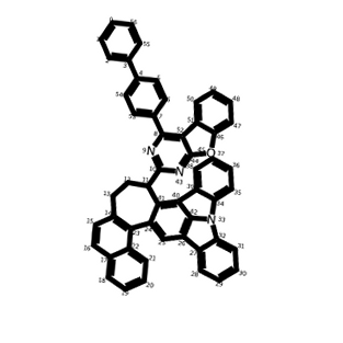 c1ccc(-c2ccc(-c3nc(C4CCc5ccc6ccccc6c5-c5cc6c7ccccc7n7c8ccccc8c(c54)c67)nc4oc5ccccc5c34)cc2)cc1